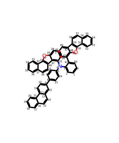 c1ccc(N(c2ccc(-c3ccc4c(ccc5ccccc54)c3)cc2)c2cccc3oc4c5ccccc5ccc4c23)c(-c2cccc3c2oc2c4ccccc4ccc32)c1